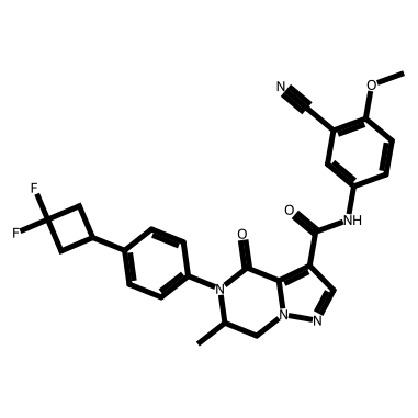 COc1ccc(NC(=O)c2cnn3c2C(=O)N(c2ccc(C4CC(F)(F)C4)cc2)C(C)C3)cc1C#N